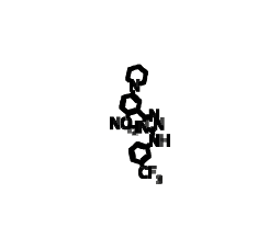 O=[N+]([O-])c1ccc(N2CCCCC2)cc1-c1nnc(Nc2cccc(C(F)(F)F)c2)[nH]1